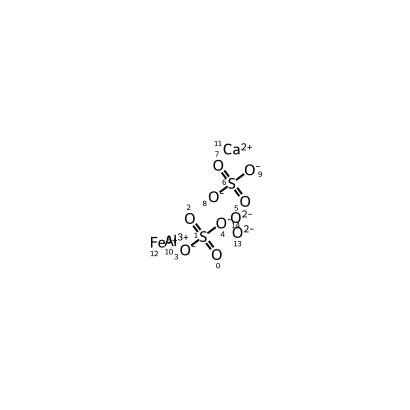 O=S(=O)([O-])[O-].O=S(=O)([O-])[O-].[Al+3].[Ca+2].[Fe+3].[O-2].[O-2]